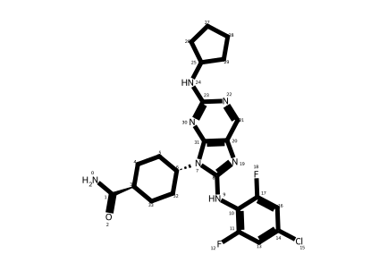 NC(=O)[C@H]1CC[C@H](n2c(Nc3c(F)cc(Cl)cc3F)nc3cnc(NC4CCCC4)nc32)CC1